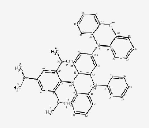 CC(C)c1cc(C(C)C)c(B2c3ccccc3[SiH](c3ccccc3)c3cc(N4c5ccccc5Oc5ccccc54)ccc32)c(C(C)C)c1